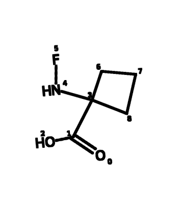 O=C(O)C1(NF)CCC1